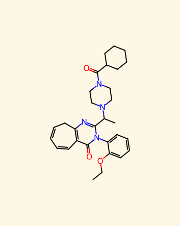 CCOc1ccccc1-n1c(C(C)N2CCN(C(=O)C3CCCCC3)CC2)nc2c(c1=O)C=CC=CC2